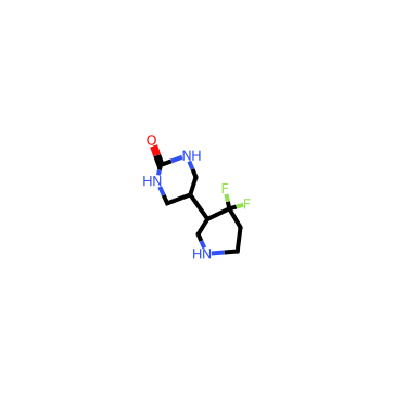 O=C1NCC(C2CNCCC2(F)F)CN1